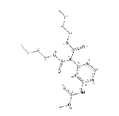 CCCCOC(=O)N(C(=O)OCCCC)c1ncnc(NC(=O)OC)n1